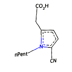 CCCCCn1c(C#N)ccc1CC(=O)O